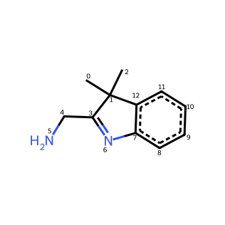 CC1(C)C(CN)=Nc2ccccc21